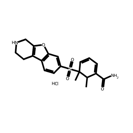 CC1C(C(N)=O)=CC=CC1(C)S(=O)(=O)c1ccc2c3c(oc2c1)CNCC3.Cl